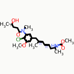 COC(=O)NC(C)C/C=C/C=C(\C)Cc1cc(OC)c(Cl)c(N(C)C(=O)CC[C@H](C)O)c1